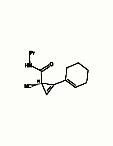 CC(C)NC(=O)[C@]1(C#N)C=C1C1=CCCCC1